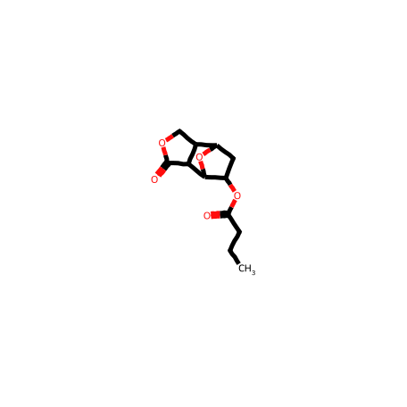 CCCC(=O)OC1CC2OC1C1C(=O)OCC21